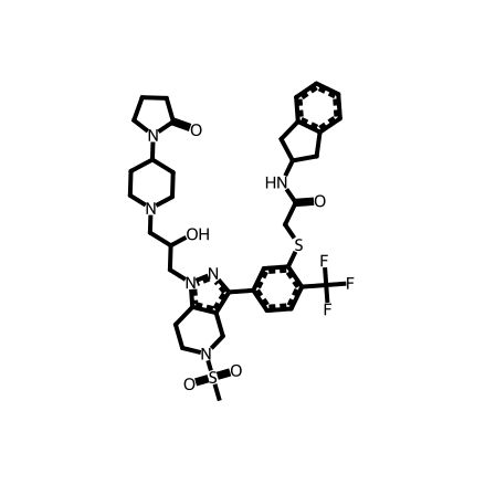 CS(=O)(=O)N1CCc2c(c(-c3ccc(C(F)(F)F)c(SCC(=O)NC4Cc5ccccc5C4)c3)nn2CC(O)CN2CCC(N3CCCC3=O)CC2)C1